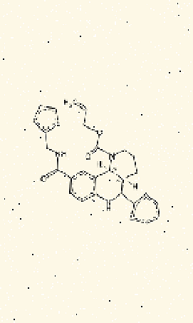 C=CCOC(=O)N1CCC[C@H]2C(c3ccccc3)Nc3ccc(C(=O)NCc4cccs4)cc3[C@H]21